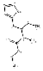 CCOC(=O)N(C)C(CC)Cc1cccs1